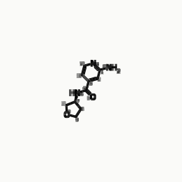 Nc1cc(C(=O)N[C@H]2CCOC2)ccn1